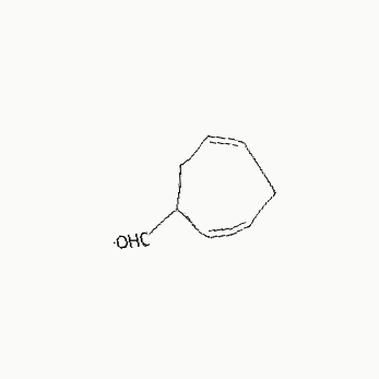 O=[C]C1C=CCC=CC1